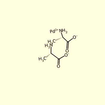 C[C@H](N)C(=O)[O-].C[C@H](N)C(=O)[O-].[Pd+2]